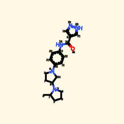 CC1CCCN1C1CCN(c2ccc(NC(=O)c3cn[nH]c3)cc2)C1